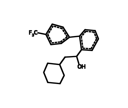 OC(CC1CCCCC1)c1ccccc1-c1ccc(C(F)(F)F)cc1